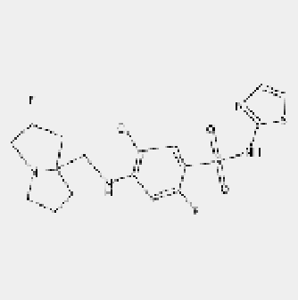 O=S(=O)(Nc1nccs1)c1cc(Cl)c(NCC23CCCN2CC(F)C3)cc1F